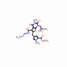 COCNC(=O)c1c(Cc2cc(C(=O)OC)n(C)c2)sc2c1c(=O)n(C)c(=O)n2CC(C)C